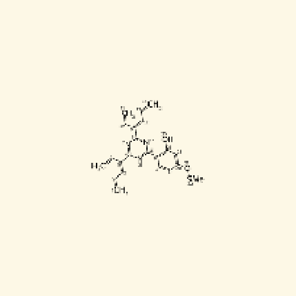 C=C/C=C(\C=C)c1nc(/C(C=C)=C/C=C)nc(-c2ccc(OSC)cc2O)n1